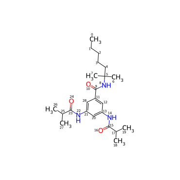 CCCCCC(C)(C)NC(=O)c1cc(NC(=O)C(C)C)cc(NC(=O)C(C)C)c1